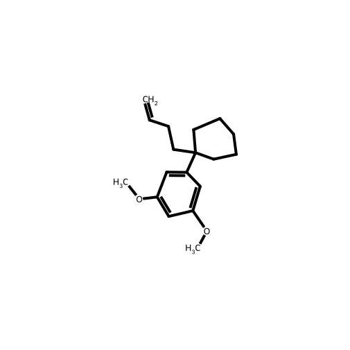 C=CCCC1(c2cc(OC)cc(OC)c2)CCCCC1